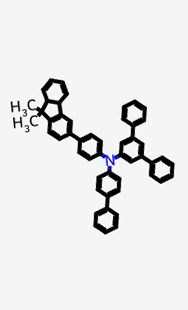 CC1(C)c2ccc(-c3ccc(N(c4ccc(-c5ccccc5)cc4)c4cc(-c5ccccc5)cc(-c5ccccc5)c4)cc3)cc2C2C=CC=CC21